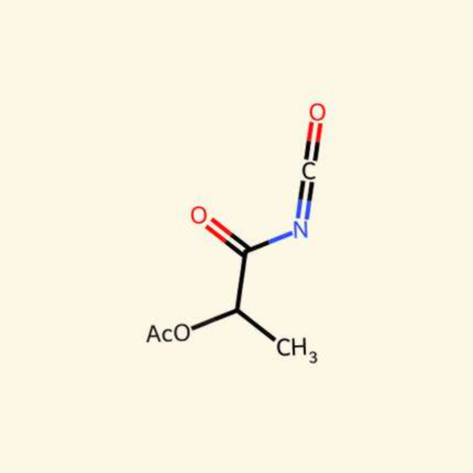 CC(=O)OC(C)C(=O)N=C=O